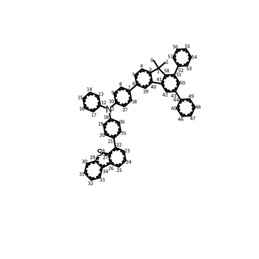 CC1(C)c2ccc(-c3ccc(N(c4ccccc4)c4ccc(-c5cccc6c5sc5ccccc56)cc4)cc3)cc2-c2cc(-c3ccccc3)cc(-c3ccccc3)c21